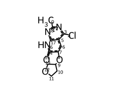 Cc1nc(Cl)c2cc(OC3CCOC3)c(=O)[nH]c2n1